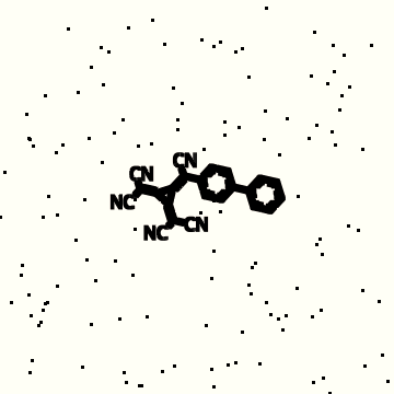 N#CC(C#N)=C1C(=C(C#N)C#N)C1=C(C#N)c1ccc(-c2ccccc2)cc1